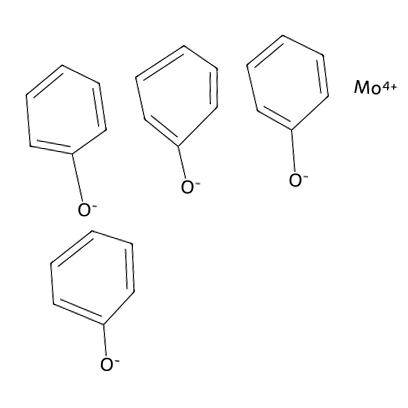 [Mo+4].[O-]c1ccccc1.[O-]c1ccccc1.[O-]c1ccccc1.[O-]c1ccccc1